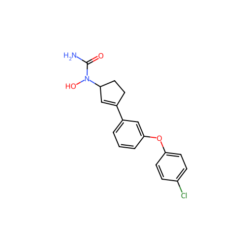 NC(=O)N(O)C1C=C(c2cccc(Oc3ccc(Cl)cc3)c2)CC1